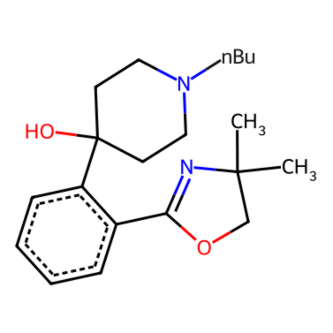 CCCCN1CCC(O)(c2ccccc2C2=NC(C)(C)CO2)CC1